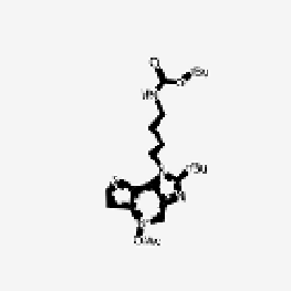 CCCCc1nc2c[n+](OC)c3ccsc3c2n1CCCCNC(=O)OC(C)(C)C